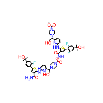 COC(=O)N1CCN(C(CO)c2cccc(Nc3sc(-c4c(F)cc(C(C)(C)O)cc4F)cc3C(=O)NOC(=O)N3CCN(C(CO)c4cccc(Nc5sc(-c6ccc(C(C)(C)O)cc6F)cc5C(N)=O)n4)CC3)n2)CC1